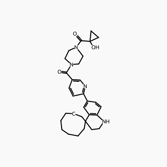 O=C(c1ccc(-c2ccc3c(c2)C2(CCCCCCCC2)CCN3)nc1)N1CCN(C(=O)C2(O)CC2)CC1